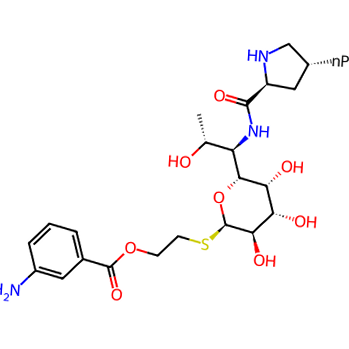 CCC[C@H]1CN[C@H](C(=O)N[C@@H]([C@H]2O[C@H](SCCOC(=O)c3cccc(N)c3)[C@H](O)[C@@H](O)[C@H]2O)[C@@H](C)O)C1